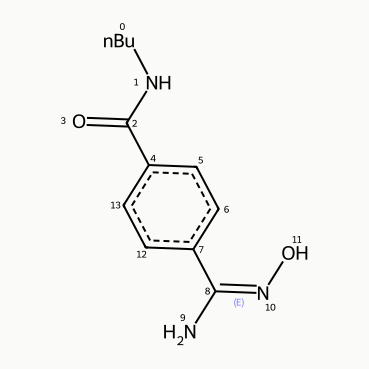 CCCCNC(=O)c1ccc(/C(N)=N\O)cc1